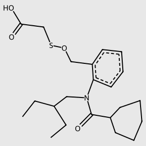 CCC(CC)CN(C(=O)C1CCCCC1)c1ccccc1COSCC(=O)O